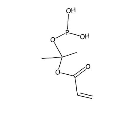 C=CC(=O)OC(C)(C)OP(O)O